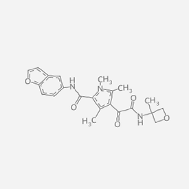 Cc1c(C(=O)C(=O)NC2(C)COC2)c(C)n(C)c1C(=O)Nc1ccc2occc2c1